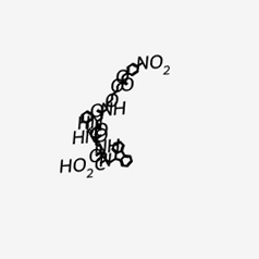 O=C(CNC(=O)[C@H](Cc1ccccc1)NC(=O)CNC(=O)CN(CC1c2ccccc2-c2ccccc21)C(=O)O)NCOCCOC(=O)Oc1ccc([N+](=O)[O-])cc1